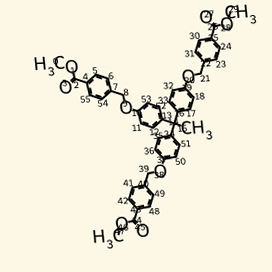 COC(=O)c1ccc(COc2ccc(C(C)(c3ccc(OCc4ccc(C(=O)OC)cc4)cc3)c3ccc(OCc4ccc(C(=O)OC)cc4)cc3)cc2)cc1